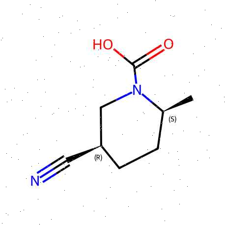 C[C@H]1CC[C@@H](C#N)CN1C(=O)O